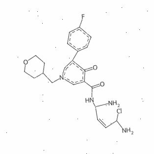 NC(Cl)/C=C\C(N)NC(=O)c1cn(CC2CCOCC2)cc(-c2ccc(F)cc2)c1=O